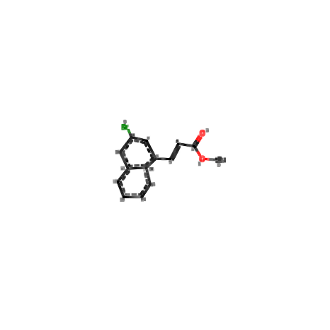 CC(C)(C)OC(=O)C=Cc1cc(Br)cc2ccccc12